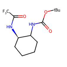 CC(C)(C)OC(=O)NC1CCCC[C@H]1NC(=O)C(F)(F)F